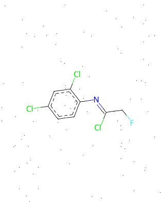 FCC(Cl)=Nc1ccc(Cl)cc1Cl